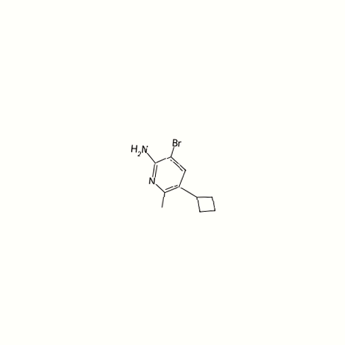 Cc1nc(N)c(Br)cc1C1CCC1